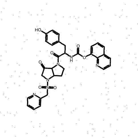 O=C(NC(Cc1ccc(O)cc1)C(=O)N1CCC2C1C(=O)CN2S(=O)(=O)Cc1ccccn1)Oc1cccc2cccnc12